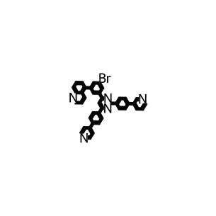 Brc1cc(-c2cc(-c3ccc(-c4ccncc4)cc3)nc(-c3ccc(-c4cccnc4)cc3)n2)cc(-c2cccc3ncccc23)c1